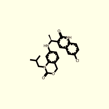 CC(C)CN1C(=O)OCc2ccc(N[C@@H](C)c3cc4cc(Cl)ccc4[nH]c3=O)cc21